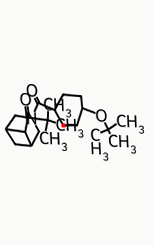 CC(C)(C)OC1CCC(C(=O)N2CC3CC(C2)C3C(=O)C(C)(C)C)CC1